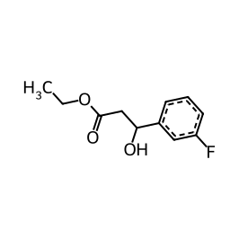 CCOC(=O)CC(O)c1cccc(F)c1